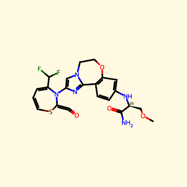 COC[C@H](Nc1ccc2c(c1)OCCn1cc(N3C(=C=O)SC=CC=C3C(F)F)nc1-2)C(N)=O